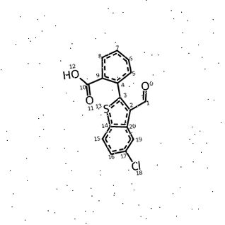 O=Cc1c(-c2ccccc2C(=O)O)sc2ccc(Cl)cc12